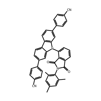 Cc1cc(C)c(N2C(=O)c3cccc(-n4c5cc(-c6ccc(C#N)cc6)ccc5c5ccc(-c6ccc(C#N)cc6)cc54)c3C2=O)c(C)c1